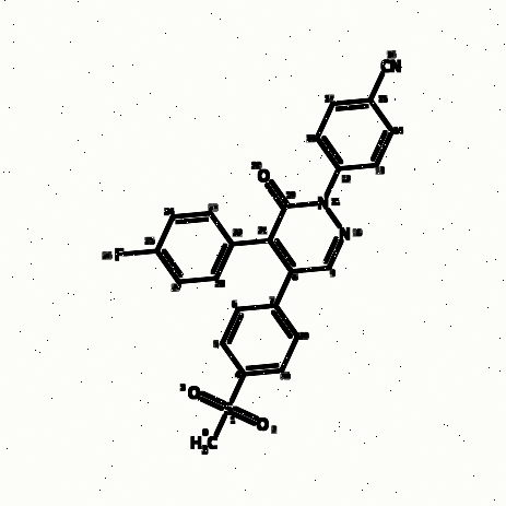 CS(=O)(=O)c1ccc(-c2cnn(-c3ccc(C#N)cc3)c(=O)c2-c2ccc(F)cc2)cc1